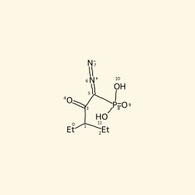 CCC(CC)C(=O)C(=[N+]=[N-])P(=O)(O)O